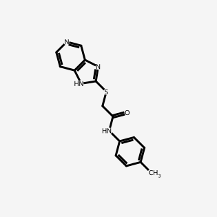 Cc1ccc(NC(=O)CSc2nc3cnccc3[nH]2)cc1